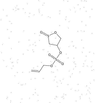 C=CCOS(=O)(=O)OC1COS(=O)C1